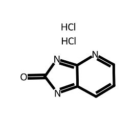 Cl.Cl.O=C1N=c2cccnc2=N1